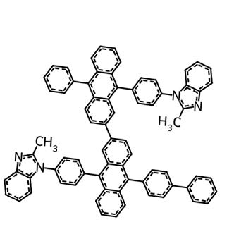 Cc1nc2ccccc2n1-c1ccc(-c2c3ccccc3c(-c3ccccc3)c3ccc(-c4ccc5c(-c6ccc(-c7ccccc7)cc6)c6ccccc6c(-c6ccc(-n7c(C)nc8ccccc87)cc6)c5c4)cc23)cc1